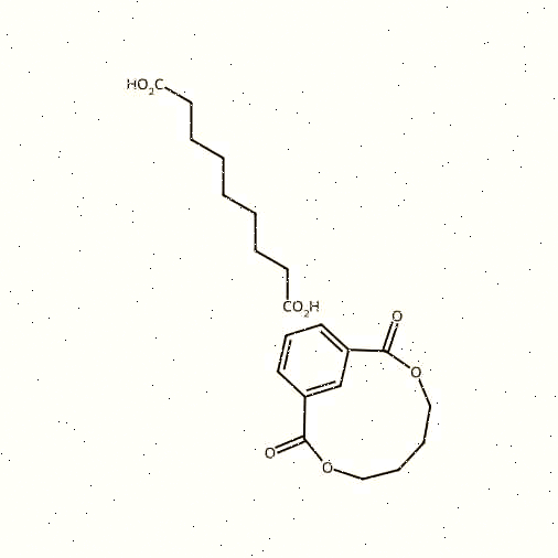 O=C(O)CCCCCCCC(=O)O.O=C1OCCCCOC(=O)c2cccc1c2